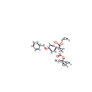 CCOC(=O)[C@@]1(c2ccc(OCc3ccccc3)cc2)C[C@@H]1C(=O)OC(C)(C)C